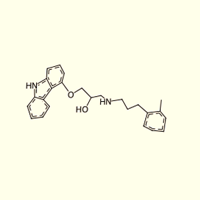 Cc1ccccc1CCCNCC(O)COc1cccc2[nH]c3ccccc3c12